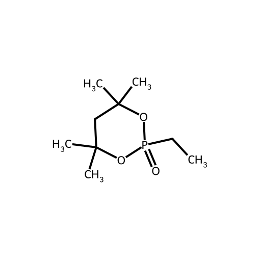 CCP1(=O)OC(C)(C)CC(C)(C)O1